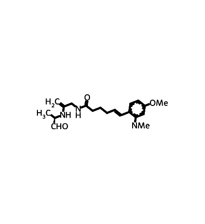 C=C(CNC(=O)CCC/C=C/c1ccc(OC)cc1NC)N[C@H](C)C=O